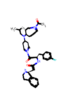 CC(=O)N1CCC(N(CC(C)C)C2CCN(C(=O)[C@@H](Cc3ccc(F)cc3)NC(=O)C[C@@H]3NCCc4ccccc43)CC2)CC1